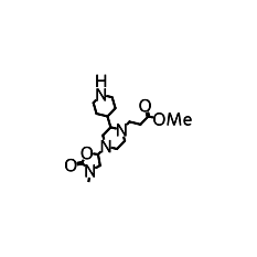 COC(=O)CCN1CCN(C2CN(C)C(=O)O2)CC1C1CCNCC1